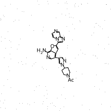 CC(=O)N1CCC(n2cc(-c3cnc(N)c4oc(-c5cnc6cnccn56)cc34)cn2)CC1